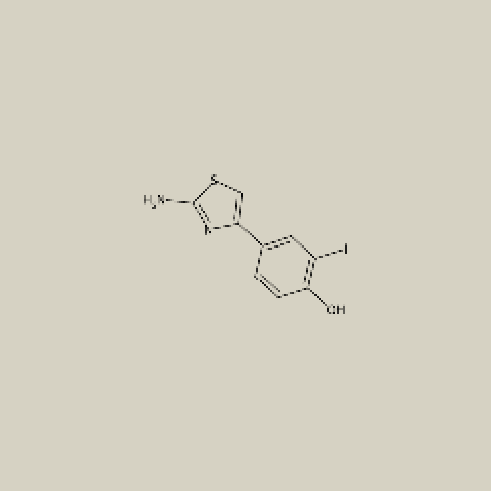 Nc1nc(-c2ccc(O)c(I)c2)cs1